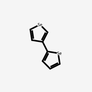 c1c[se]c(-c2cc[se]c2)c1